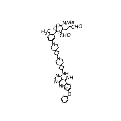 CNC(=O)C(CCC=O)N(C=O)C(=O)c1cc(N2CCC3(CC2)CC(N2CCC4(CC2)CC(Nc2ncnc(N)c2C(=N)c2ccc(Oc5ccccc5)cc2)C4)C3)ccc1C